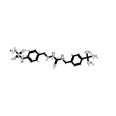 CC(C)(C)c1ccc(CNC(=O)NSCc2ccc(NS(N)(=O)=O)cc2)cc1